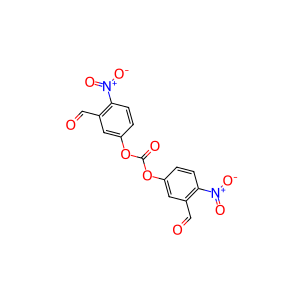 O=Cc1cc(OC(=O)Oc2ccc([N+](=O)[O-])c(C=O)c2)ccc1[N+](=O)[O-]